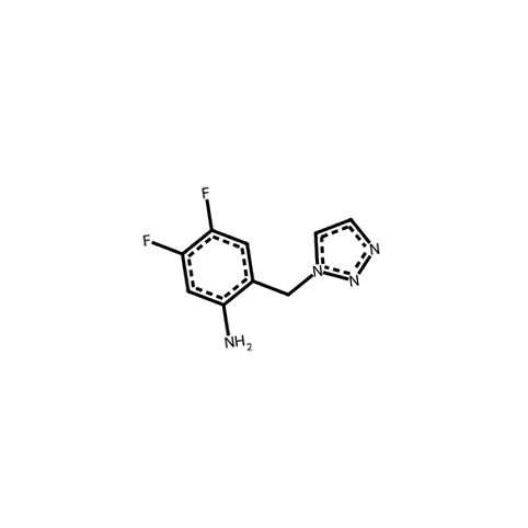 Nc1cc(F)c(F)cc1Cn1ccnn1